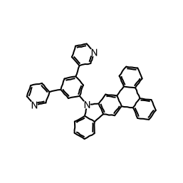 c1cncc(-c2cc(-c3cccnc3)cc(-n3c4ccccc4c4cc5c6ccccc6c6ccccc6c5cc43)c2)c1